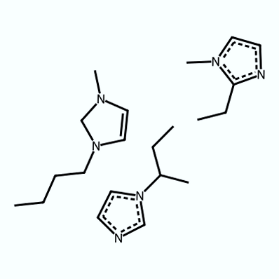 CCC(C)n1ccnc1.CCCCN1C=CN(C)C1.CCc1nccn1C